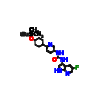 CC(C)(C)[Si](C)(C)OC1CCC(c2ccc(NC(=O)Nc3c[nH]c4ncc(F)cc34)cn2)CC1